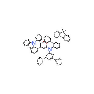 CC1(C)c2ccccc2-c2c(-c3cccc(N(c4cc(-c5ccccc5)cc(-c5ccccc5)c4)c4cccc(-c5cccc6c7ccccc7n(-c7ccccc7)c56)c4)c3-c3ccccc3)cccc21